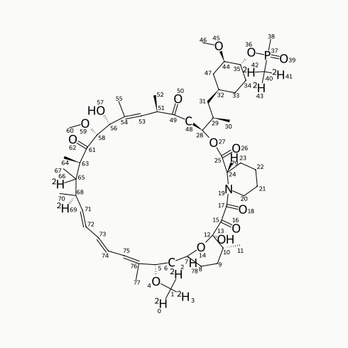 [2H]C([2H])([2H])O[C@H]1C[C@@H]2CC[C@@H](C)[C@@](O)(O2)C(=O)C(=O)N2CCCC[C@H]2C(=O)O[C@H]([C@H](C)C[C@@H]2CC[C@@H](OP(C)(=O)C([2H])([2H])[2H])[C@H](OC)C2)CC(=O)[C@H](C)/C=C(\C)[C@@H](O)[C@@H](OC)C(=O)[C@H](C)C([2H])(C)[C@]([2H])(C)/C=C/C=C/C=C/1C